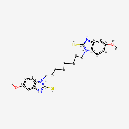 COc1ccc2c(c1)nc(S)n2CCCCCCCCn1c(S)nc2cc(OC)ccc21